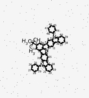 CC(C)(C)c1cc2c3cc4c(cc3n3c5cc6c7ccccc7n(-c7ccccc7)c6cc5c(c1)c23)c1ccccc1n4-c1ccccc1